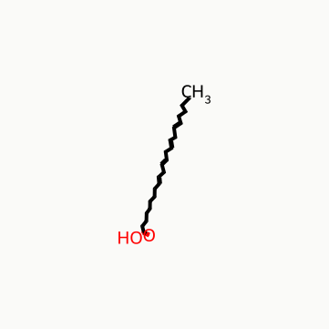 CCCCCC=CCC=CCC=CCC=CCCCCCCCC(=O)O